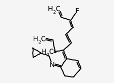 C=CC(=C)C(/C=C/C=C(/F)C=C)=C1/C=CCC/C1=N/CC1CC1